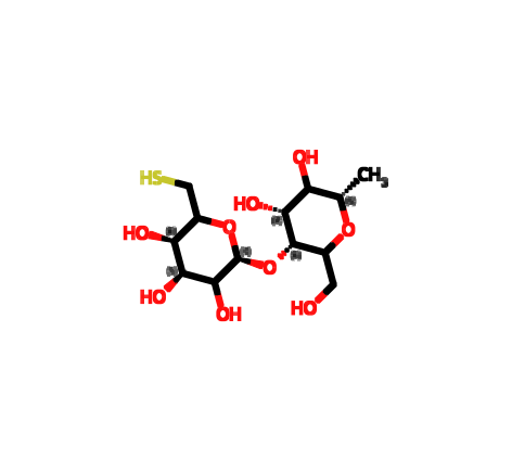 C[C@@H]1OC(CO)[C@H](O[C@@H]2OC(CS)[C@H](O)[C@H](O)C2O)[C@H](O)C1O